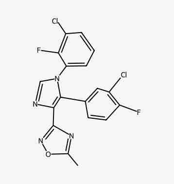 Cc1nc(-c2ncn(-c3cccc(Cl)c3F)c2-c2ccc(F)c(Cl)c2)no1